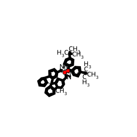 CC(C)(C)c1ccc(-c2nnc(C3=CCC4(C)C(=C3)[C@@]3(c5ccccc5-c5ccc(-c6nnc(-c7ccc(C(C)(C)C)cc7)o6)cc53)c3ccccc34)o2)cc1